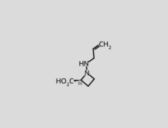 C=CCNN1CC[C@H]1C(=O)O